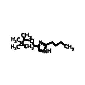 CCCCc1nc(COC(C)[Si](C)(C)C)c[nH]1